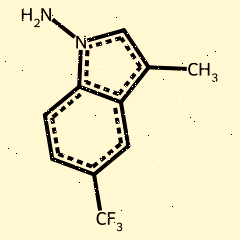 Cc1cn(N)c2ccc(C(F)(F)F)cc12